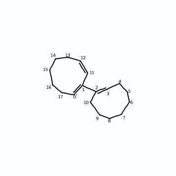 [C]1=C(/C2=C\CCCCCCC2)\C=C/CCCCC/1